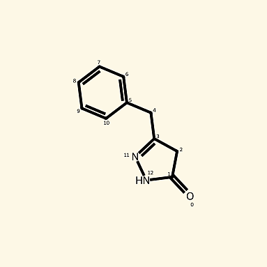 O=C1CC(Cc2ccccc2)=NN1